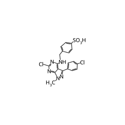 Cn1nc(-c2ccc(Cl)cc2)c2c(NCc3ccc(S(=O)(=O)O)cc3)nc(Cl)nc21